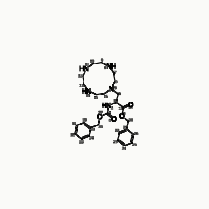 O=C(NC(CN1CCNCCNCCNCC1)C(=O)OCc1ccccc1)OCc1ccccc1